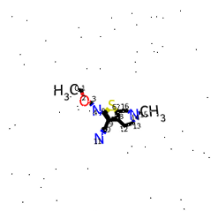 CCO/C=N/c1sc2c(c1C#N)CCN(C)C2